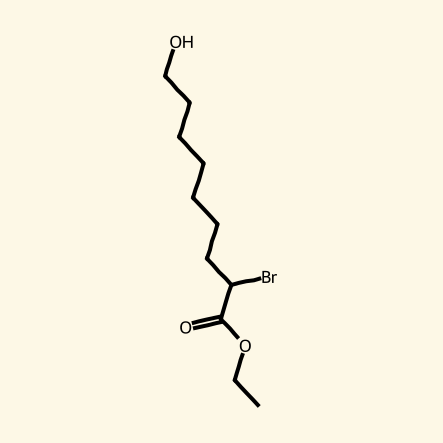 CCOC(=O)C(Br)CCCCCCCO